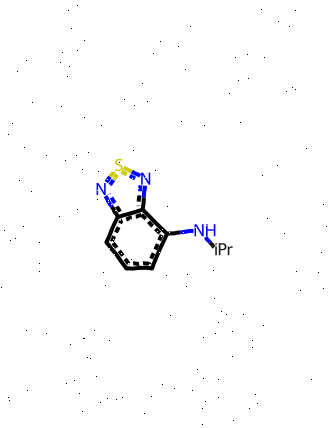 CC(C)Nc1cccc2nsnc12